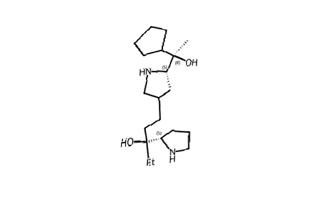 CCC(O)(CCC1CN[C@H]([C@](C)(O)C2CCCC2)C1)[C@@H]1CCCN1